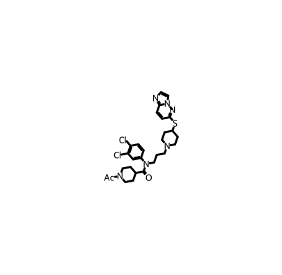 CC(=O)N1CCC(C(=O)N(CCCN2CCC(Sc3ccc4nccn4n3)CC2)c2ccc(Cl)c(Cl)c2)CC1